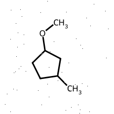 COC1CCC(C)C1